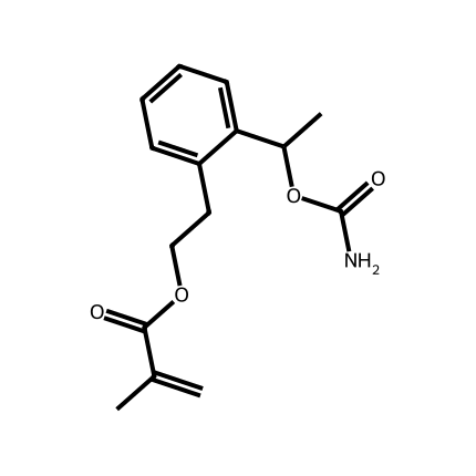 C=C(C)C(=O)OCCc1ccccc1C(C)OC(N)=O